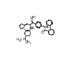 CN(C)C1CCC2=C(C1)N1CC=CC1=CC(C(=O)c1ccc(NC(=O)c3ccccc3-c3ccccc3)cc1)N2.Cl